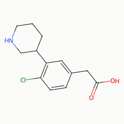 O=C(O)Cc1ccc(Cl)c(C2CCCNC2)c1